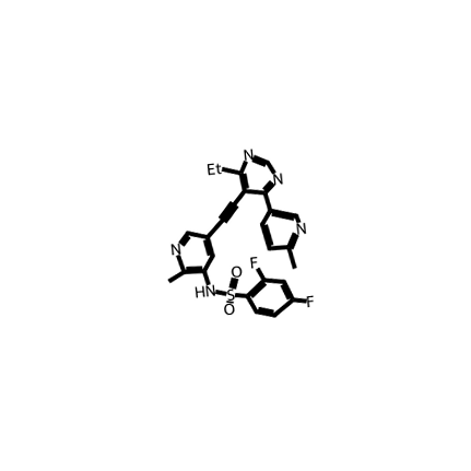 CCc1ncnc(-c2ccc(C)nc2)c1C#Cc1cnc(C)c(NS(=O)(=O)c2ccc(F)cc2F)c1